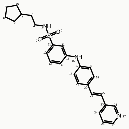 O=S(=O)(NCCC1CCCC1)c1cccc(Nc2ccc(/C=C/c3cccnc3)cc2)c1